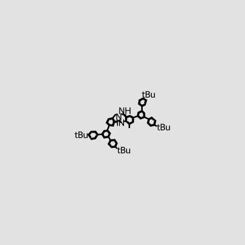 CC(=N)N1Cc2ccc(-c3cc(-c4ccc(C(C)(C)C)cc4)cc(-c4ccc(C(C)(C)C)cc4)c3)cc2C1Nc1c(C)cc(-c2cc(-c3ccc(C(C)(C)C)cc3)cc(-c3ccc(C(C)(C)C)cc3)c2)cc1C